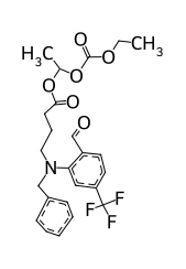 CCOC(=O)OC(C)OC(=O)CCCN(Cc1ccccc1)c1cc(C(F)(F)F)ccc1C=O